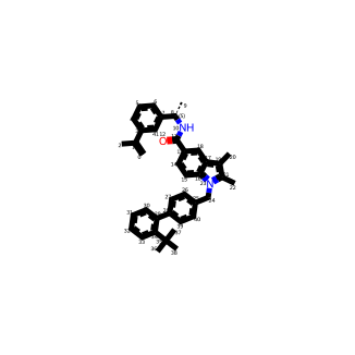 C=C(C)c1cccc([C@H](C)NC(=O)c2ccc3c(c2)c(C)c(C)n3Cc2ccc(-c3ccccc3C(C)(C)C)cc2)c1